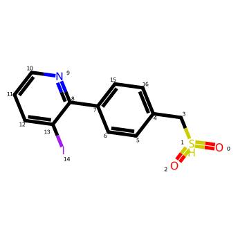 O=[SH](=O)Cc1ccc(-c2ncccc2I)cc1